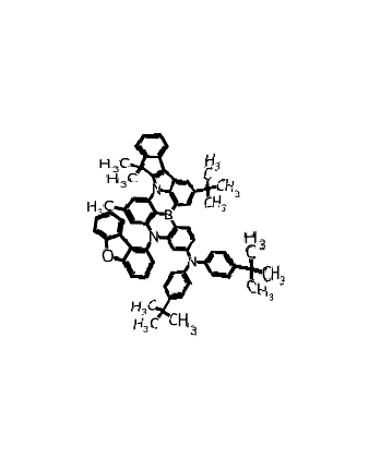 Cc1cc2c3c(c1)-n1c4c(c5cc(C(C)(C)C)cc(c51)B3c1ccc(N(c3ccc(C(C)(C)C)cc3)c3ccc(C(C)(C)C)cc3)cc1N2c1cccc2oc3ccccc3c12)-c1ccccc1C4(C)C